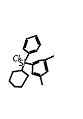 Cc1cc(C)cc([Si](Cl)(c2ccccc2)C2CCCCC2)c1